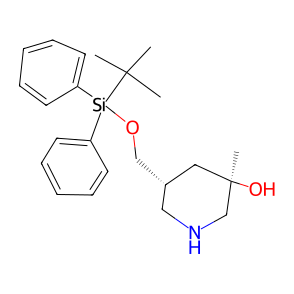 CC(C)(C)[Si](OC[C@H]1CNC[C@](C)(O)C1)(c1ccccc1)c1ccccc1